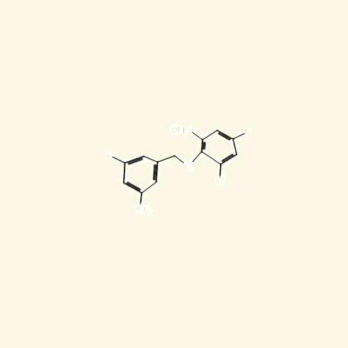 O=Cc1cc(F)cc(Cl)c1OCc1cc(F)cc(C(F)(F)F)c1